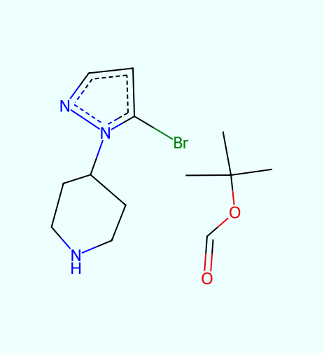 Brc1ccnn1C1CCNCC1.CC(C)(C)OC=O